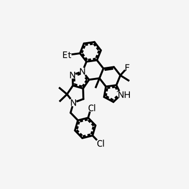 CCc1cccc2c1-n1nc3c(c1C1(C)C2=CC(C)(F)c2[nH]ccc21)CN(Cc1ccc(Cl)cc1Cl)C3(C)C